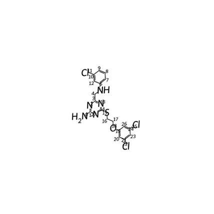 Nc1nc(CNc2cccc(Cl)c2)nc(SCCOc2cc(Cl)cc(Cl)c2)n1